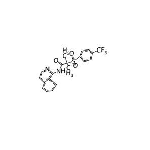 CC(C)(C(=O)Nc1nccc2ccccc12)S(=O)(=O)c1ccc(C(F)(F)F)cc1